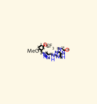 COc1ccc(OC(F)(F)F)cc1Cn1cc(CNc2nc(C)c3c(n2)N(C)CC(=O)N3)nn1